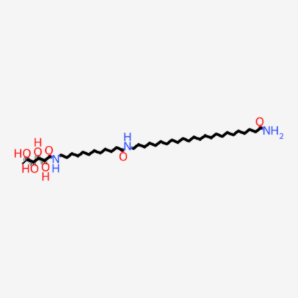 C[C@@H](O)[C@@H](O)[C@H](O)[C@@H](O)C(=O)NCCCCCCCCCCCC(=O)NCCCCCCCCCCCCCCCCCCCCCCCC(N)=O